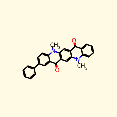 Cn1c2ccccc2c(=O)c2cc3c(cc21)c(=O)c1cc(-c2ccccc2)ccc1n3C